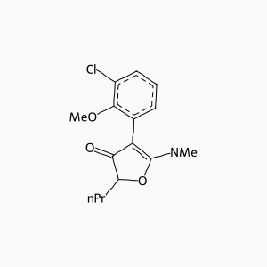 CCCC1OC(NC)=C(c2cccc(Cl)c2OC)C1=O